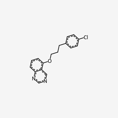 Clc1ccc(CCCOc2cccc3ncncc23)cc1